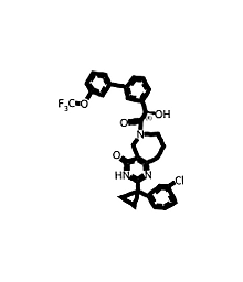 O=C([C@H](O)c1cccc(-c2cccc(OC(F)(F)F)c2)c1)N1CCCc2nc(C3(c4cccc(Cl)c4)CC3)[nH]c(=O)c2C1